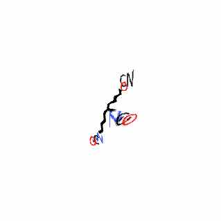 N#COCCCCCC(CCCCCN=C=O)CN=C=O